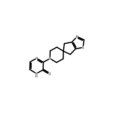 O=c1[nH][c]cnc1N1CCC2(CC1)Cc1ncsc1C2